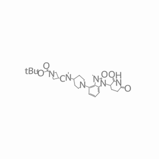 CN(CC1CN(C(=O)OC(C)(C)C)C1)C1CCN(c2cccc3c2n(C)c(=O)n3C2CCC(=O)NC2=O)CC1